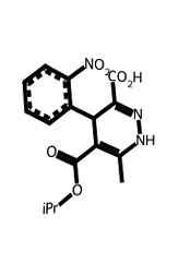 CC1=C(C(=O)OC(C)C)C(c2ccccc2[N+](=O)[O-])C(C(=O)O)=NN1